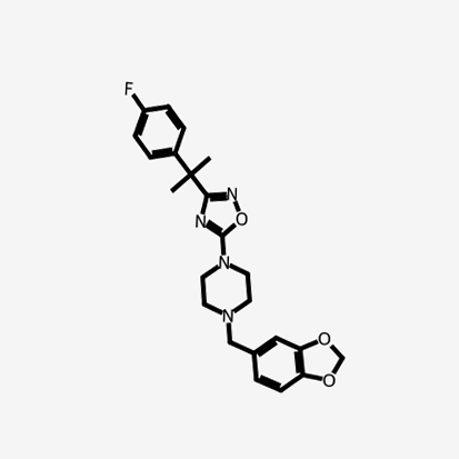 CC(C)(c1ccc(F)cc1)c1noc(N2CCN(Cc3ccc4c(c3)OCO4)CC2)n1